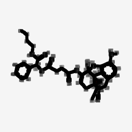 CCCCOC(=O)[C@@H](OC(=O)CCC(=O)OC1=CC[C@@]2(O)[C@H]3Cc4ccc(OC)c5c4[C@@]2(CCN3C)[C@H]1O5)c1ccccc1